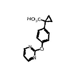 O=C(O)C1(c2ccc(Oc3ncccn3)cc2)CC1